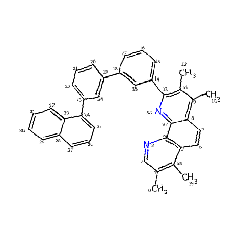 Cc1cnc2c(ccc3c(C)c(C)c(-c4cccc(-c5cccc(-c6cccc7ccccc67)c5)c4)nc32)c1C